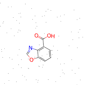 O=C(O)c1[c]ccc2ocnc12